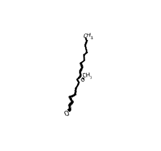 CCCCCCCCCCCCCCCCCC=O.C[O]